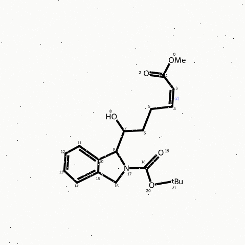 COC(=O)/C=C\CCC(O)C1c2ccccc2CN1C(=O)OC(C)(C)C